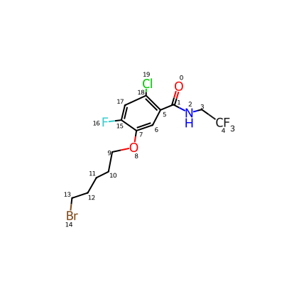 O=C(NCC(F)(F)F)c1cc(OCCCCCBr)c(F)cc1Cl